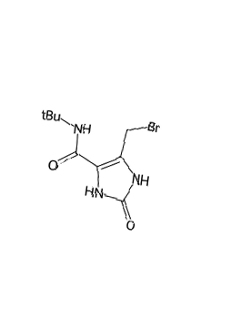 CC(C)(C)NC(=O)c1[nH]c(=O)[nH]c1CBr